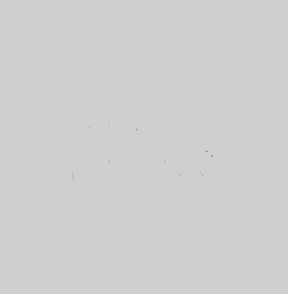 Fc1cc[c]c(OCc2ccnc(F)c2)c1